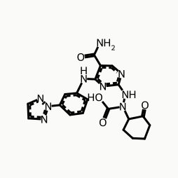 NC(=O)c1cnc(NN(C(=O)O)C2CCCCC2=O)nc1Nc1cccc(-n2nccn2)c1